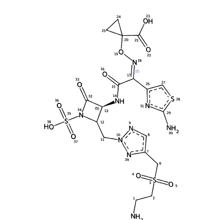 NCCS(=O)(=O)Cc1cnn(CC2[C@H](NC(=O)/C(=N\OC3(C(=O)O)CC3)c3csc(N)n3)C(=O)N2S(=O)(=O)O)n1